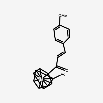 COc1ccc(C=CC(=O)[C]23[CH]4[CH]5[CH]6[CH]2[Fe]56432789[CH]3[CH]2[CH]7[C]8(C(C)=O)[CH]39)cc1